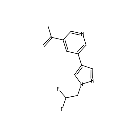 C=C(C)c1cncc(-c2cnn(CC(F)F)c2)c1